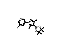 Cc1nn(-c2cncc(F)c2)c(C)c1B1OC(C)(C)C(C)(C)O1